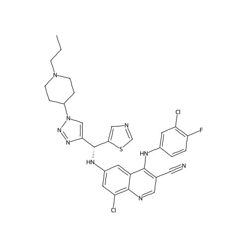 CCCN1CCC(n2cc([C@@H](Nc3cc(Cl)c4ncc(C#N)c(Nc5ccc(F)c(Cl)c5)c4c3)c3cncs3)nn2)CC1